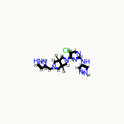 Cn1cc(Nc2ncc(Cl)c(N3C[C@]4(C)CN(Cc5cc[nH]n5)C[C@]4(C)C3)n2)cn1